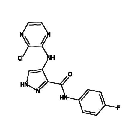 O=C(Nc1ccc(F)cc1)c1n[nH]cc1Nc1nccnc1Cl